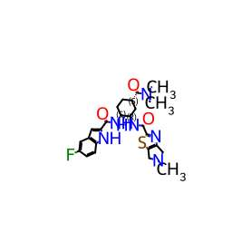 CN1Cc2nc(C(=O)N[C@@H]3C[C@@H](C(=O)N(C)C)CC[C@@H]3NC(=O)c3cc4cc(F)ccc4[nH]3)sc2C1